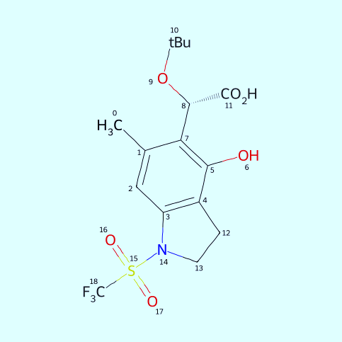 Cc1cc2c(c(O)c1[C@H](OC(C)(C)C)C(=O)O)CCN2S(=O)(=O)C(F)(F)F